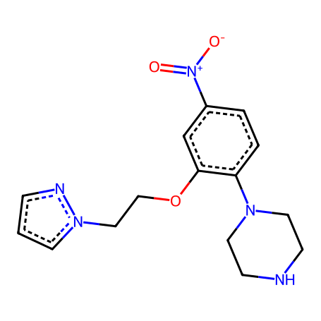 O=[N+]([O-])c1ccc(N2CCNCC2)c(OCCn2cccn2)c1